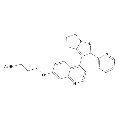 CC(=O)NCCCOc1ccc2c(-c3c(-c4ccccn4)nn4c3CCC4)ccnc2c1